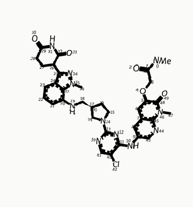 CNC(=O)COc1cc2cc(Nc3nc(N4CC[C@H](CNc5cccc6c(C7CCC(=O)NC7=O)nn(C)c56)C4)ncc3Cl)cnc2n(C)c1=O